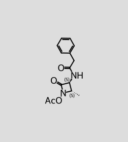 CC(=O)ON1C(=O)[C@@H](NC(=O)Cc2ccccc2)[C@@H]1C